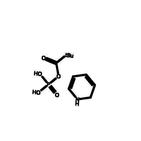 C1=CCNC=C1.CC(C)(C)C(=O)OP(=O)(O)O